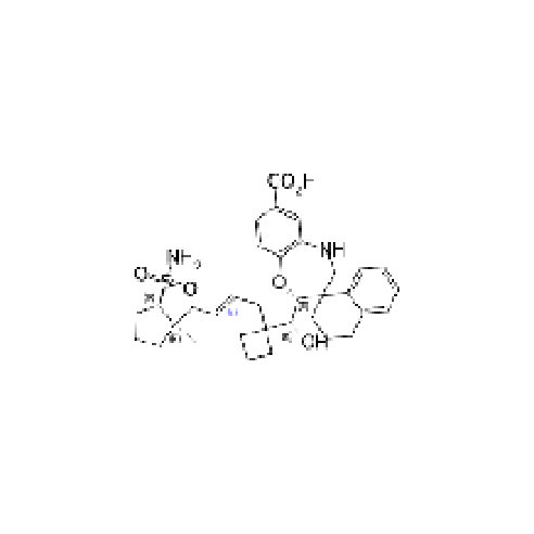 C[C@]1(C/C=C/CC2([C@@H](O)[C@@H]3Oc4ccc(C(=O)O)cc4NCC34CCCc3ccccc34)CCC2)CCC[C@H]1S(N)(=O)=O